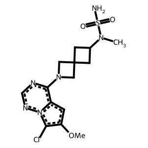 COc1cc2c(N3CC4(CC(N(C)S(N)(=O)=O)C4)C3)ncnn2c1Cl